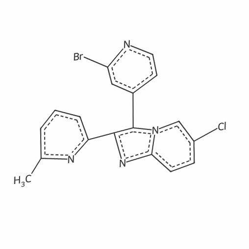 Cc1cccc(-c2nc3ccc(Cl)cn3c2-c2ccnc(Br)c2)n1